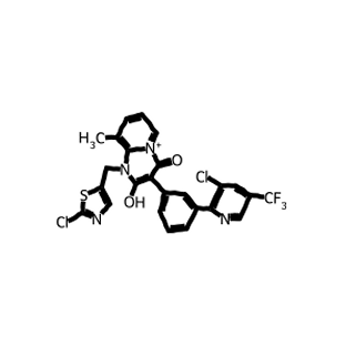 Cc1ccc[n+]2c(=O)c(-c3cccc(-c4ncc(C(F)(F)F)cc4Cl)c3)c(O)n(Cc3cnc(Cl)s3)c12